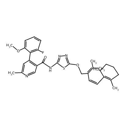 COc1cccc(F)c1-c1cc(C)ncc1C(=O)Nc1nnc(OCC(/C=C\C2=C(C)CCCC2O)=C(C)C)s1